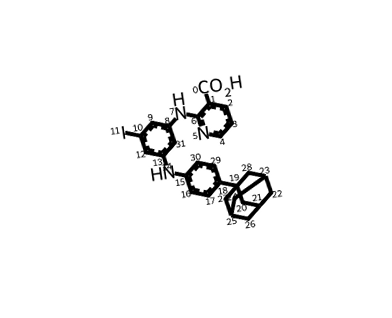 O=C(O)c1cccnc1Nc1cc(I)cc(Nc2ccc(C34CC5CC(CC(C5)C3)C4)cc2)c1